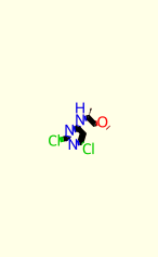 COC[C@@H](C)Nc1cc(Cl)nc(Cl)n1